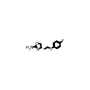 NC1=N[C@@H](CCSc2ccc(F)cc2)CO1